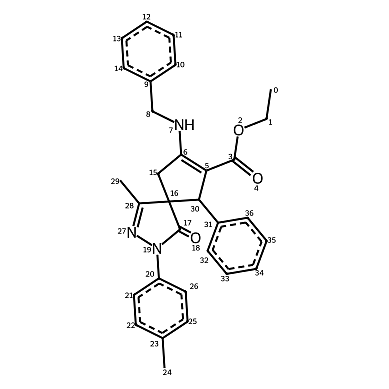 CCOC(=O)C1=C(NCc2ccccc2)CC2(C(=O)N(c3ccc(C)cc3)N=C2C)C1c1ccccc1